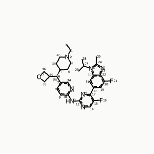 CCN1CCC([C@@H](c2ccc(Nc3ncc(F)c(-c4cc(F)c5nc(C)n(C(C)C)c5c4)n3)nc2)C2COC2)CC1